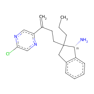 C=C(CCC1(CCC)Cc2ccccc2[C@H]1N)c1cnc(Cl)cn1